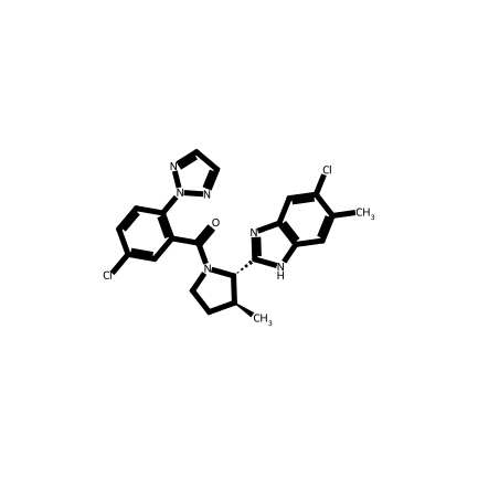 Cc1cc2[nH]c([C@@H]3[C@@H](C)CCN3C(=O)c3cc(Cl)ccc3-n3nccn3)nc2cc1Cl